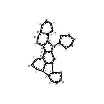 c1ccc(-n2c3cc4c5c(cccc5c3c3ccc5ccccc5c32)-c2ccccc2-4)cc1